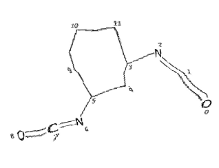 O=C=NC1[CH]C(N=C=O)CCC1